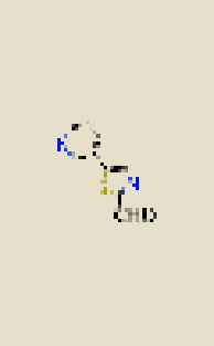 O=Cc1ncc(-c2cccnc2)s1